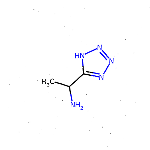 CC(N)c1nnn[nH]1